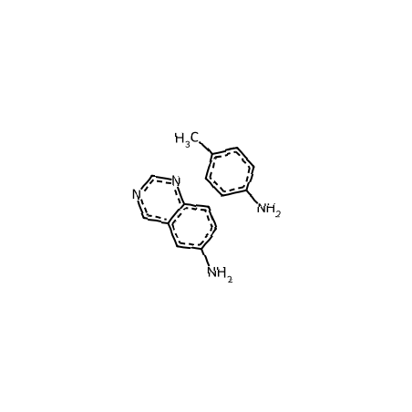 Cc1ccc(N)cc1.Nc1ccc2ncncc2c1